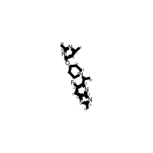 Cc1cc(OC2CCN(C(C)c3nc4nc(C)sc4cc3F)CC2)nc(C)n1